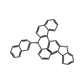 c1ccc(N(c2ccc3ccccc3c2)c2ccc3ccccc3c2-c2ccc3c(c2)sc2ccccc23)cc1